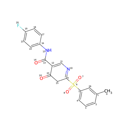 Cc1cccc(S(=O)(=O)C2=NC=C(C(=O)Nc3ccc(F)cc3)C(=O)C2)c1